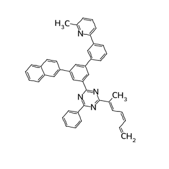 C=C/C=C\C=C(/C)c1nc(-c2ccccc2)nc(-c2cc(-c3cccc(-c4cccc(C)n4)c3)cc(-c3ccc4ccccc4c3)c2)n1